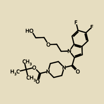 CC(C)(C)OC(=O)N1CCN(C(=O)c2cc3cc(F)c(F)cc3n2CCOCCO)CC1